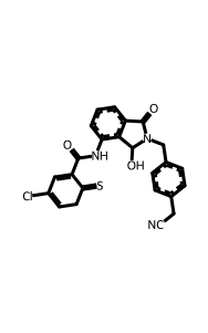 N#CCc1ccc(CN2C(=O)c3cccc(NC(=O)C4=CC(Cl)=CCC4=S)c3C2O)cc1